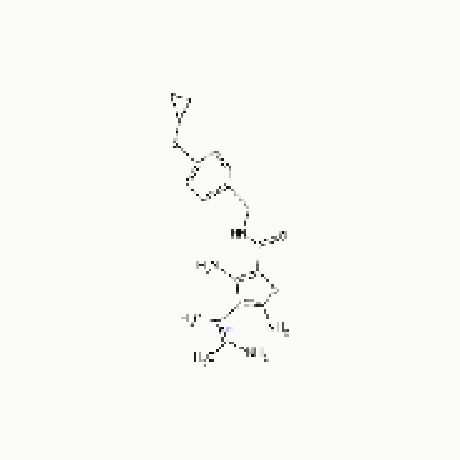 C/C(N)=C(\C)c1c(N)sc(C(=O)NCc2ccc(SC3CC3)cc2)c1N